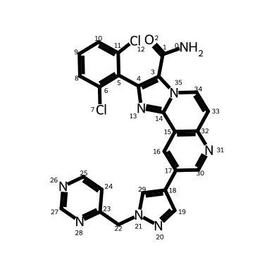 NC(=O)c1c(-c2c(Cl)cccc2Cl)nc2c3cc(-c4cnn(Cc5ccncn5)c4)cnc3ccn12